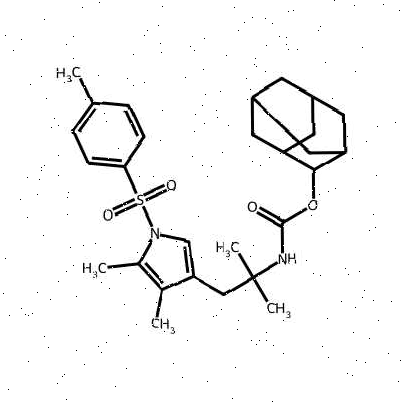 Cc1ccc(S(=O)(=O)n2cc(CC(C)(C)NC(=O)OC3C4CC5CC(C4)CC3C5)c(C)c2C)cc1